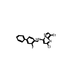 CCc1cnn2c(NCc3ccc(-c4ccccc4)cc3F)cc(Cl)nc12